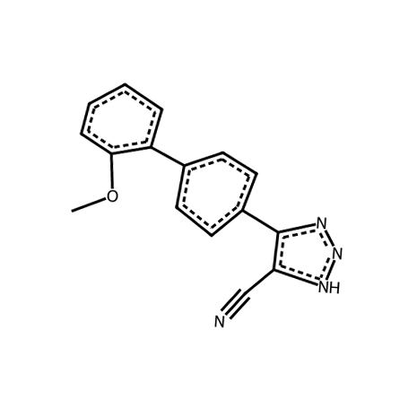 COc1ccccc1-c1ccc(-c2nn[nH]c2C#N)cc1